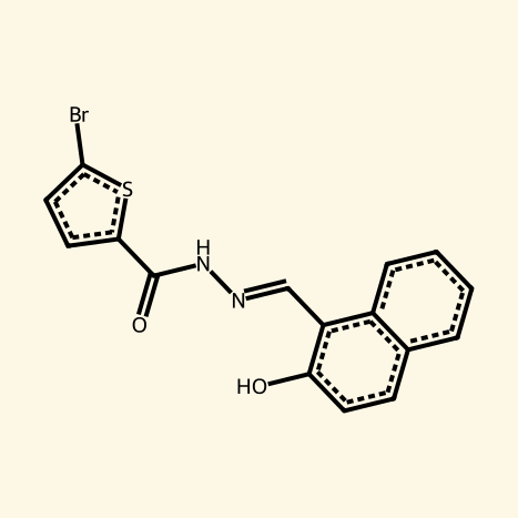 O=C(NN=Cc1c(O)ccc2ccccc12)c1ccc(Br)s1